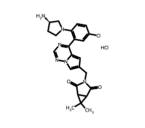 CC1(C)C2C(=O)N(Cc3cc4c(-c5cc(Cl)ccc5N5CC[C@@H](N)C5)ncnn4c3)C(=O)C21.Cl